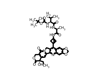 CC[C@@]1(O)C(=O)OCc2c1cc1n(c2=O)Cc2c-1nc1cc3c(cc1c2C12CC(NC(=O)[C@H](C)NC(=O)[C@@H](NC(=O)OC(C)(C)C)C(C)C)(C1)C2)OCO3